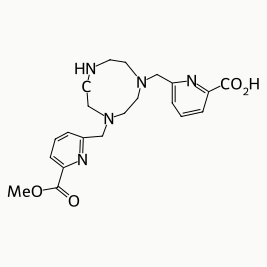 COC(=O)c1cccc(CN2CCNCCN(Cc3cccc(C(=O)O)n3)CC2)n1